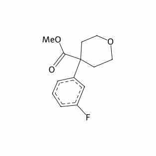 COC(=O)C1(c2cccc(F)c2)CCOCC1